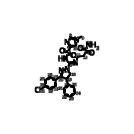 Cn1cnc(S(=O)(=O)NC(=NCCS(N)(=O)=O)N2C[C@@H](c3ccccc3)C(c3ccc(Cl)cc3)=N2)c1